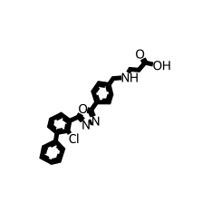 O=C(O)CCNCc1ccc(-c2nnc(-c3cccc(-c4ccccc4)c3Cl)o2)cc1